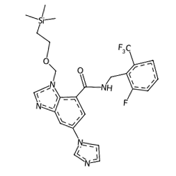 C[Si](C)(C)CCOCn1cnc2cc(-n3ccnc3)cc(C(=O)NCc3c(F)cccc3C(F)(F)F)c21